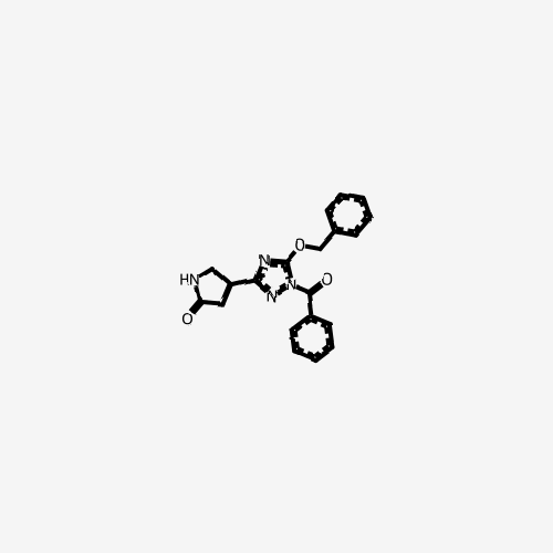 O=C1CC(c2nc(OCc3ccccc3)n(C(=O)c3ccccc3)n2)CN1